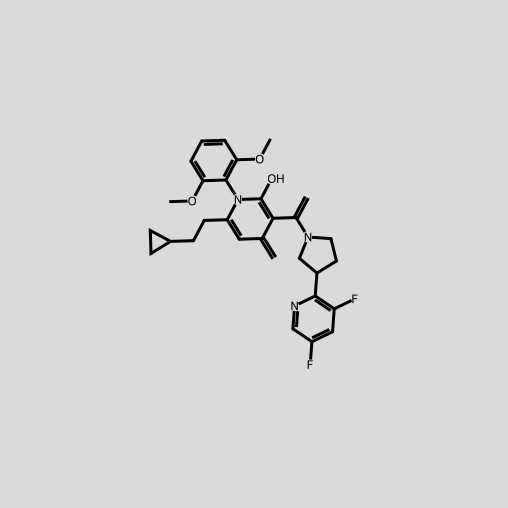 C=C1C=C(CCC2CC2)N(c2c(OC)cccc2OC)C(O)=C1C(=C)N1CCC(c2ncc(F)cc2F)C1